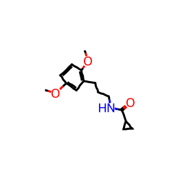 COc1ccc(OC)c(CCCNC(=O)C2CC2)c1